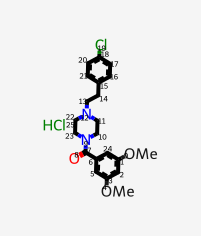 COc1cc(OC)cc(C(=O)N2CCN(CCc3ccc(Cl)cc3)CC2)c1.Cl